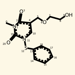 Cn1c(=O)c(COCCO)cn(Sc2ccccc2)c1=O